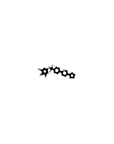 Fc1cc(OC(F)(F)C2CCC(C3CCC(C4CCCC4)CO3)CC2)cc(F)c1F